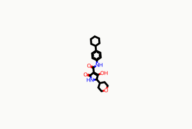 O=C(Nc1ccc(C2CCCCC2)cc1)C1=C(O)C(C2CCOCC2)NC1=O